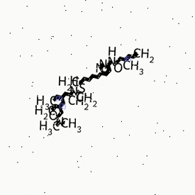 C=C/C=C(\C)CC(=O)Nc1ccc(CCCCC(=C)SC(=C)NC(=C)CC(/C=C(\C=C)CC(=O)N(C)C)=C/C)nn1